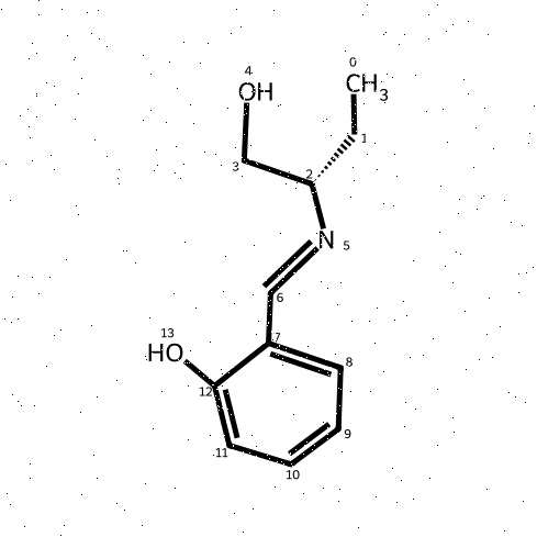 CC[C@@H](CO)/N=C/c1ccccc1O